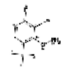 CC(C)(C)c1ccc(F)c(F)c1OP